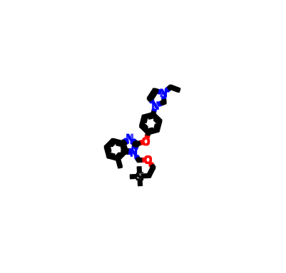 CCN1C=CN(c2ccc(Oc3nc4cccc(C)c4n3COCC[Si](C)(C)C)cc2)C1